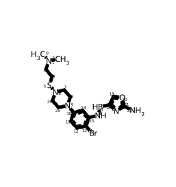 CN(C)CCSN1CCN(c2ccc(Br)c(NBc3coc(N)n3)c2)CC1